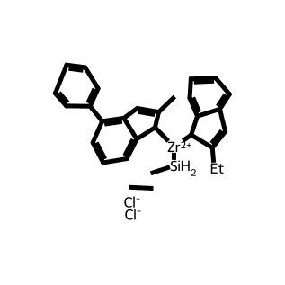 CC.CCC1=Cc2ccccc2[CH]1[Zr+2]([SiH2]C)[CH]1C(C)=Cc2c(-c3ccccc3)cccc21.[Cl-].[Cl-]